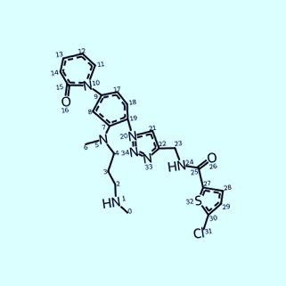 CNCCCN(C)c1cc(-n2ccccc2=O)ccc1-n1cc(CNC(=O)c2ccc(Cl)s2)nn1